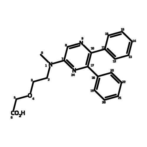 CN(CCOCC(=O)O)c1cnc(-c2ccccc2)c(-c2ccccc2)n1